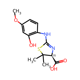 COc1ccc(NC2=N[C@@H](C(=O)O)C(C)(C)S2)c(O)c1